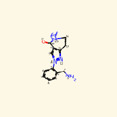 NCc1ccccc1-n1cc2c(n1)CCNC2=O